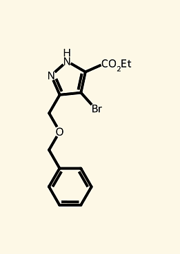 CCOC(=O)c1[nH]nc(COCc2ccccc2)c1Br